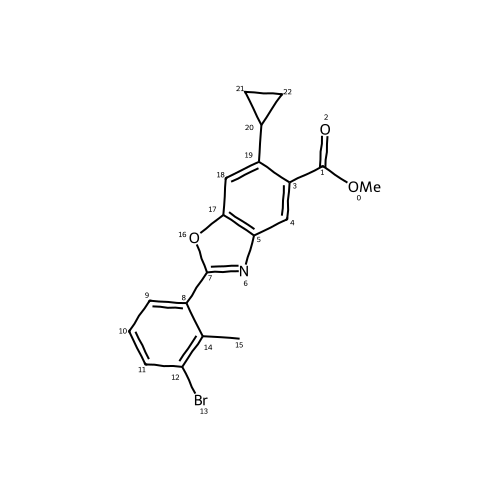 COC(=O)c1cc2nc(-c3cccc(Br)c3C)oc2cc1C1CC1